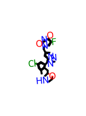 Cc1cc(Cl)cc(-c2ncnn3cc(Cn4cc(F)c(=O)n(C)c4=O)cc23)c1CC1CNCCO1